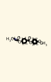 C/C=C/C(=O)O[C@H]1CC[C@H](C(=O)Oc2ccc(OC)cc2)CC1